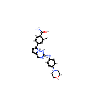 Cc1cc(-c2ccc3cnc(Nc4ccc(N5CCOCC5)cc4)nn23)ccc1C(N)=O